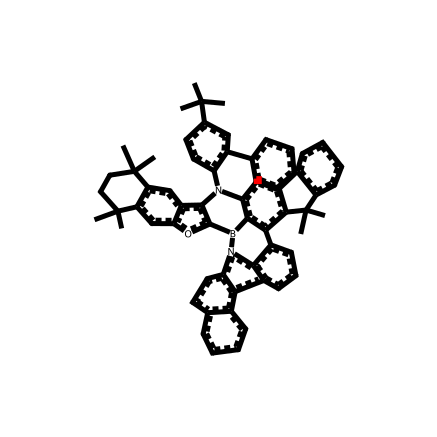 CC(C)(C)c1ccc(N2c3cc4c(c5c3B(c3oc6cc7c(cc6c32)C(C)(C)CCC7(C)C)n2c3ccc6ccccc6c3c3cccc-5c32)C(C)(C)c2ccccc2-4)c(-c2ccccc2)c1